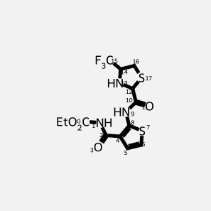 CCOC(=O)NC(=O)c1ccsc1NC(=O)C1NC(C(F)(F)F)CS1